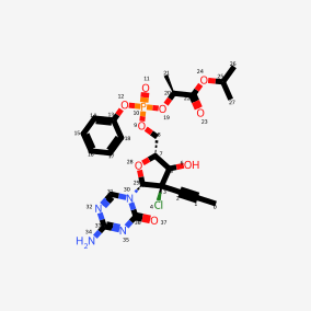 CC#C[C@@]1(Cl)C(O)[C@@H](COP(=O)(Oc2ccccc2)O[C@@H](C)C(=O)OC(C)C)O[C@H]1n1cnc(N)nc1=O